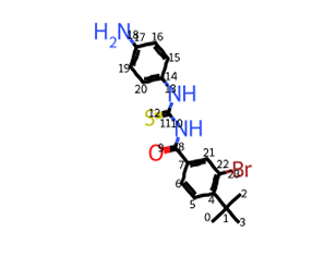 CC(C)(C)c1ccc(C(=O)NC(=S)Nc2ccc(N)cc2)cc1Br